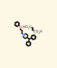 O=C(O)C=CC(=O)O.c1ccc(OCCCN2CCC(C(c3ccccc3)c3ccccc3)CC2)cc1